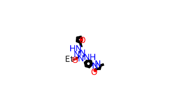 CCOc1nc(NCc2ccco2)nc(Nc2cccc(N3N=C(C)CC3=O)c2)n1